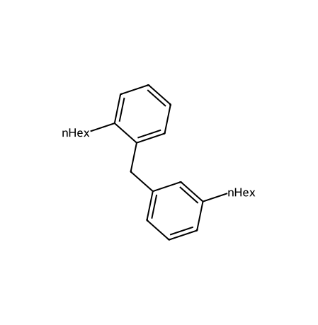 CCCCCCc1cccc(Cc2ccccc2CCCCCC)c1